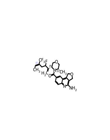 C=C(C(F)C/C(=C\C)C(F)(F)F)[C@@H]1COC[C@H](C)N1C(=O)c1ccc2nc(N)c3c(c2c1)COC3